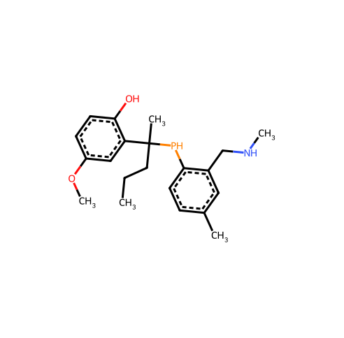 CCCC(C)(Pc1ccc(C)cc1CNC)c1cc(OC)ccc1O